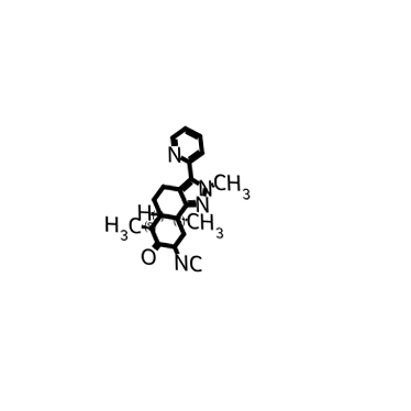 [C-]#[N+]C1C[C@]2(C)c3nn(C)c(-c4ccccn4)c3CC[C@H]2[C@H](C)C1=O